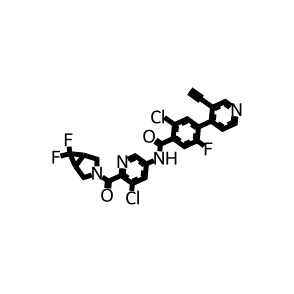 C#Cc1cnccc1-c1cc(Cl)c(C(=O)Nc2cnc(C(=O)N3CC4C(C3)C4(F)F)c(Cl)c2)cc1F